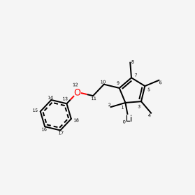 [Li][C]1(C)C(C)=C(C)C(C)=C1CCOc1ccccc1